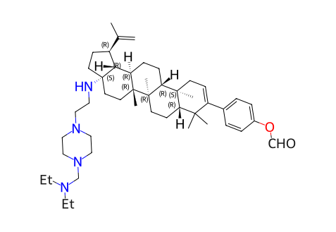 C=C(C)[C@@H]1CC[C@]2(NCCN3CCN(CN(CC)CC)CC3)CC[C@]3(C)[C@H](CC[C@@H]4[C@@]5(C)CC=C(c6ccc(OC=O)cc6)C(C)(C)[C@@H]5CC[C@]43C)[C@@H]12